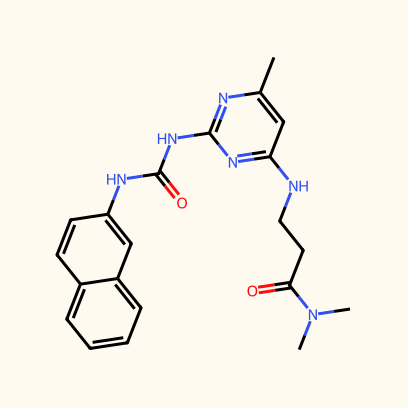 Cc1cc(NCCC(=O)N(C)C)nc(NC(=O)Nc2ccc3ccccc3c2)n1